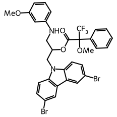 COc1cccc(NCC(Cn2c3ccc(Br)cc3c3cc(Br)ccc32)OC(=O)C(OC)(c2ccccc2)C(F)(F)F)c1